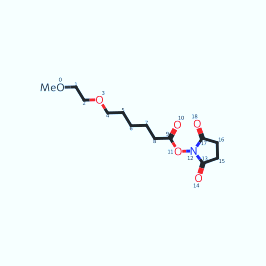 COCCOCCCCCC(=O)ON1C(=O)CCC1=O